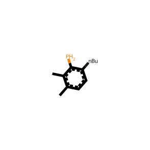 CCCCc1ccc(C)c(C)c1P